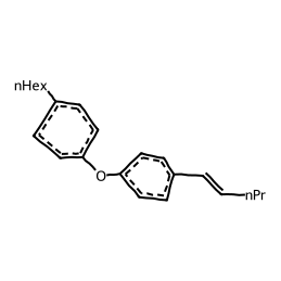 CCC/C=C/c1ccc(Oc2ccc(CCCCCC)cc2)cc1